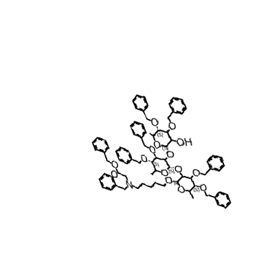 CC1O[C@@H](OC2C(OCc3ccccc3)[C@@H](OCc3ccccc3)C(C)O[C@H]2OC2C(OCc3ccccc3)[C@@H](OCc3ccccc3)C(C)O[C@H]2OCCCCCN(CC(=O)OCc2ccccc2)Cc2ccccc2)C(O)C(OCc2ccccc2)[C@H]1OCc1ccccc1